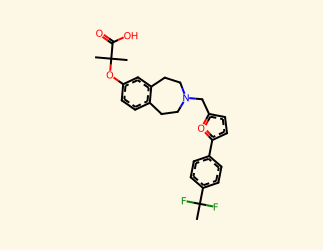 CC(C)(Oc1ccc2c(c1)CCN(Cc1ccc(-c3ccc(C(C)(F)F)cc3)o1)CC2)C(=O)O